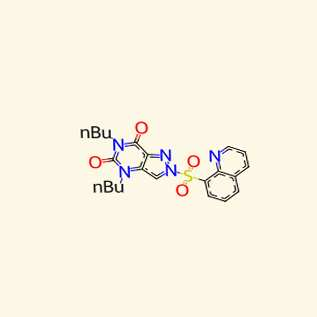 CCCCn1c(=O)c2nn(S(=O)(=O)c3cccc4cccnc34)cc2n(CCCC)c1=O